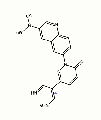 C=C1C=CC(/C(C=N)=C/NC)=CN1c1ccc2ncc(N(CCC)CCC)cc2c1